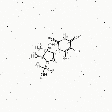 [2H]c1c([2H])n([C@@H]2O[C@H](C([2H])([2H])O)[C@@H](O)[C@@]2(C)O)c(=O)[nH]c1=O